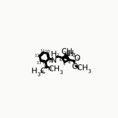 COC(=O)C12CC(CNc3ccccc3C(C)C)(C1)[C@@H]2C